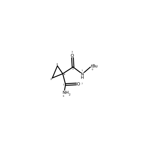 CC(C)(C)NC(=O)C1(C(N)=O)CC1